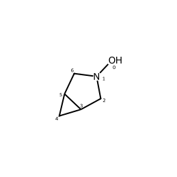 ON1CC2CC2C1